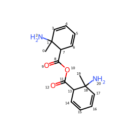 CC1(N)C=CC=CC1C(=O)OC(=O)C1C=CC=CC1(C)N